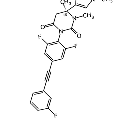 CN1C(=O)N(c2c(F)cc(C#Cc3cccc(F)c3)cc2F)C(=O)C[C@@]1(C)c1cnn(C)c1